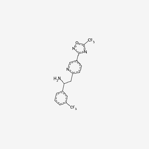 NC(Cc1ccc(-c2noc(C(F)(F)F)n2)cn1)c1cccc(C(F)(F)F)c1